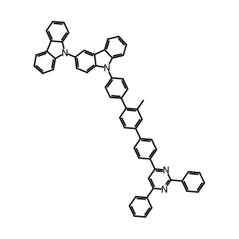 Cc1cc(-c2ccc(-c3cc(-c4ccccc4)nc(-c4ccccc4)n3)cc2)ccc1-c1ccc(-n2c3ccccc3c3cc(-n4c5ccccc5c5ccccc54)ccc32)cc1